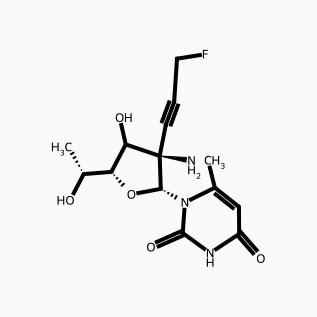 Cc1cc(=O)[nH]c(=O)n1[C@@H]1O[C@H]([C@@H](C)O)C(O)[C@]1(N)C#CCF